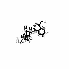 CC1C2OC3[C@H]1O[C@H](C2C)[C@H]3OC(=O)c1ccccc1C(=O)O